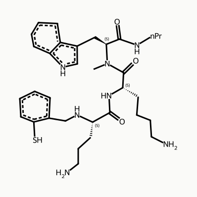 CCCNC(=O)[C@H](Cc1c[nH]c2ccccc12)N(C)C(=O)[C@H](CCCCN)NC(=O)[C@H](CCCN)NCc1ccccc1S